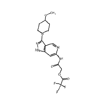 COC1CCN(c2n[nH]c3cc(NC(=O)COC(=O)C(F)(F)F)ncc23)CC1